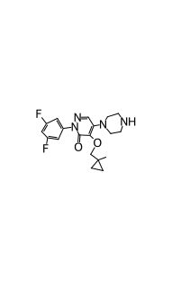 CC1(COc2c(N3CCNCC3)cnn(-c3cc(F)cc(F)c3)c2=O)CC1